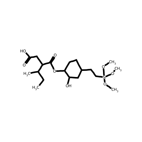 CCC(C)C(CC(=O)O)C(=O)OC1CCC(CC[Si](OC)(OC)OC)CC1O